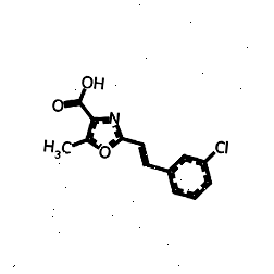 Cc1oc(/C=C/c2cccc(Cl)c2)nc1C(=O)O